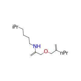 C=C(CCC)COCC(=C)NCCCCC(C)C